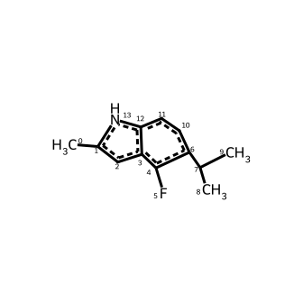 Cc1cc2c(F)c(C(C)C)ccc2[nH]1